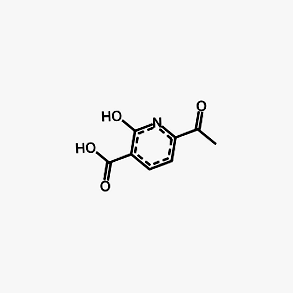 CC(=O)c1ccc(C(=O)O)c(O)n1